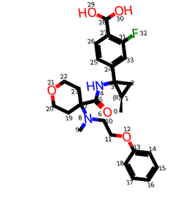 C[C@@H]1CC1(NC(=O)C1(N(C)CCOc2ccccc2)CCOCC1)c1ccc(C(O)O)c(F)c1